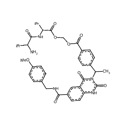 COc1ccc(CNC(=O)c2ccc3[nH]c(=O)n(C(C)c4ccc(C(=O)OCOC(=O)C(NC(=O)C(N)C(C)C)C(C)C)cc4)c(=O)c3c2)cc1